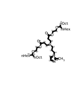 CCCCCCCCC(CCCCCC)OCCOC(=O)CCN(CCCn1ccnc1C)CCC(=O)OCCOC(CCCCCC)CCCCCCCC